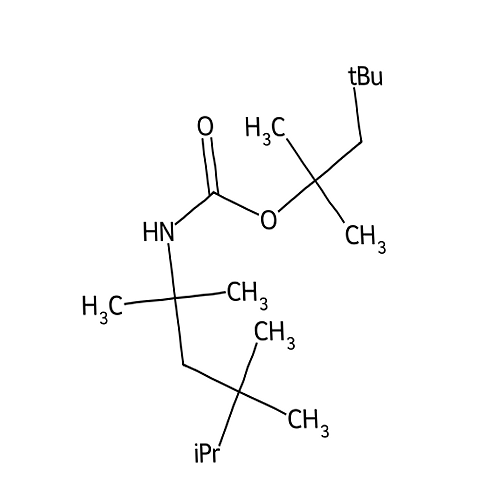 CC(C)C(C)(C)CC(C)(C)NC(=O)OC(C)(C)CC(C)(C)C